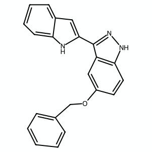 c1ccc(COc2ccc3[nH]nc(-c4cc5ccccc5[nH]4)c3c2)cc1